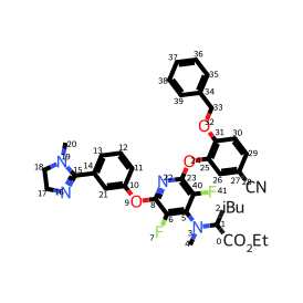 CCOC(=O)C(C(C)CC)N(C)c1c(F)c(Oc2cccc(C3=NCCN3C)c2)nc(Oc2cc(C#N)ccc2OCc2ccccc2)c1F